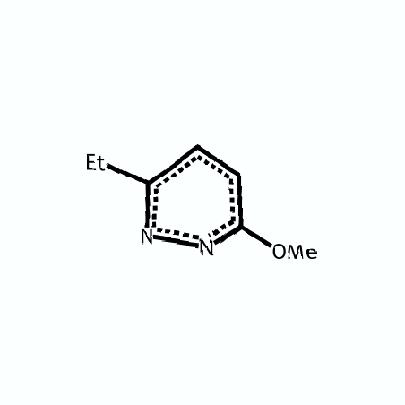 CCc1ccc(OC)nn1